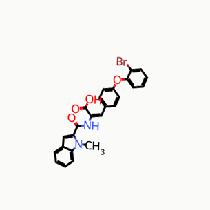 Cn1c(C(=O)NC(=Cc2ccc(Oc3ccccc3Br)cc2)C(=O)O)cc2ccccc21